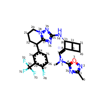 Cc1noc(N(C)/C=C2\C3CCC3[C@H]2Nc2nc3n(n2)CCCC3c2ccc(F)c(C(F)(F)F)c2)n1